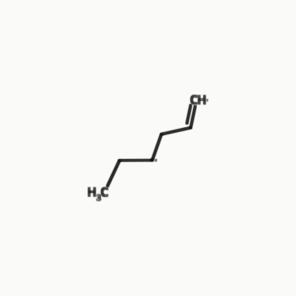 [CH]=CC[CH]CC